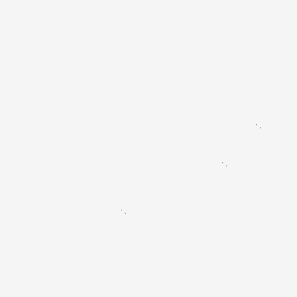 Cl.Cl.Cl.Fc1ccc(NCCCCN2CCN3CCCCC3C2)cc1